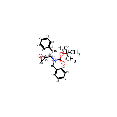 CC(C)(C)OC(=O)N(Cc1ccccc1)[C@@H](Cc1ccccc1)[C@H]1CO1